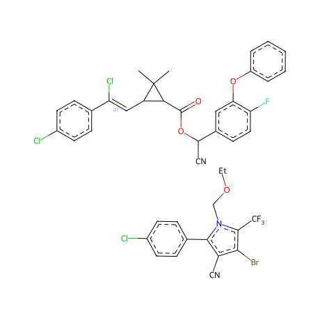 CC1(C)C(/C=C(\Cl)c2ccc(Cl)cc2)C1C(=O)OC(C#N)c1ccc(F)c(Oc2ccccc2)c1.CCOCn1c(-c2ccc(Cl)cc2)c(C#N)c(Br)c1C(F)(F)F